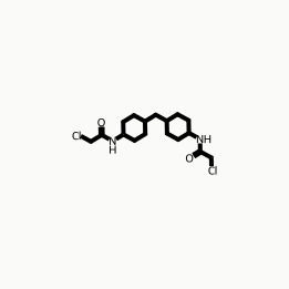 O=C(CCl)NC1CCC(CC2CCC(NC(=O)CCl)CC2)CC1